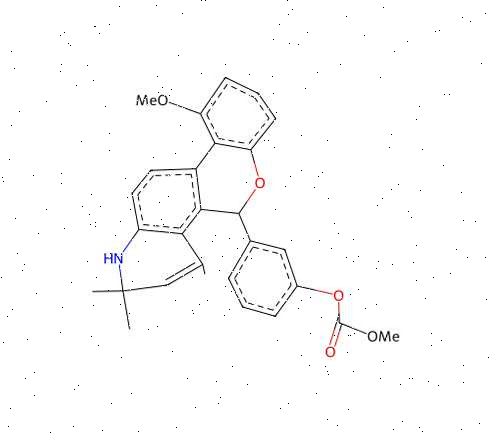 COC(=O)Oc1cccc(C2Oc3cccc(OC)c3-c3ccc4c(c32)C(C)=CC(C)(C)N4)c1